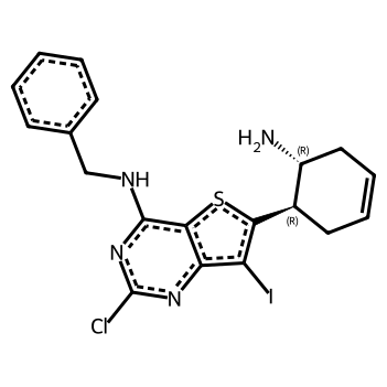 N[C@@H]1CC=CC[C@H]1c1sc2c(NCc3ccccc3)nc(Cl)nc2c1I